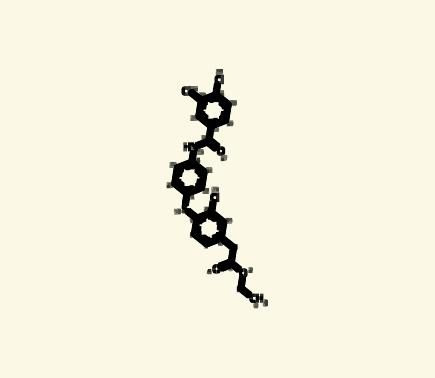 CCOC(=O)Cc1ccc(Sc2ccc(NC(=O)c3ccc(Cl)c(Cl)c3)cc2)c(Cl)c1